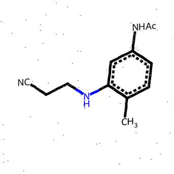 CC(=O)Nc1ccc(C)c(NCCC#N)c1